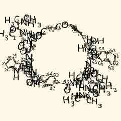 CC[C@H](NC(=O)[C@H](C)NC)C(=O)N1C[C@@H]2CC1C(=O)N[C@@H](Cc1c[nH]c3ccccc13)C(=O)N[C@H](C(=O)O)Cc1ccc(cc1)C(=O)N[C@H]1C[C@@H](C(=O)N[C@@H](Cc3ccc4ccccc4c3)C(=O)N[C@H](C(=O)O)Cc3ccc(cc3)OC/C=C/CO2)N(C(=O)[C@@H](NC(=O)[C@H](C)NC)C(C)(C)C)C1